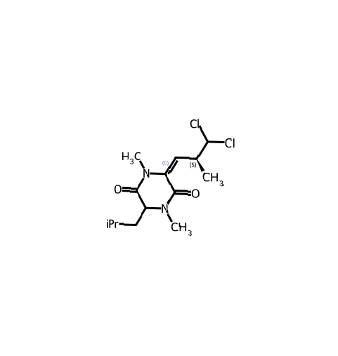 CC(C)CC1C(=O)N(C)/C(=C/[C@H](C)C(Cl)Cl)C(=O)N1C